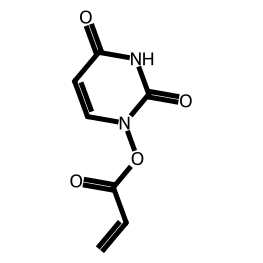 C=CC(=O)On1ccc(=O)[nH]c1=O